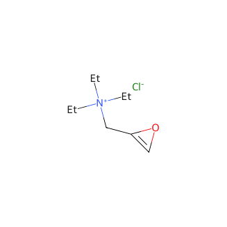 CC[N+](CC)(CC)CC1=CO1.[Cl-]